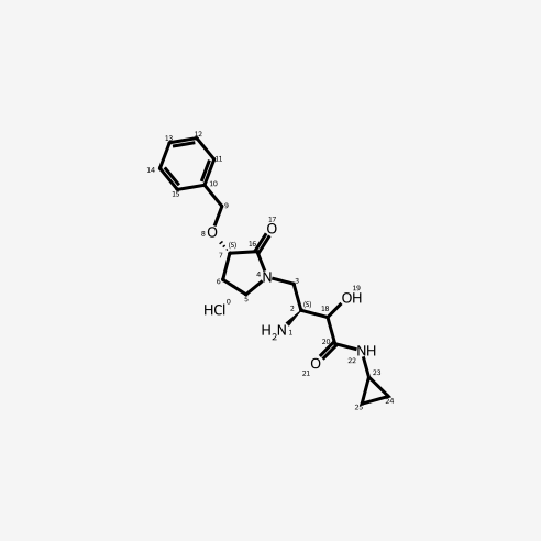 Cl.N[C@@H](CN1CC[C@H](OCc2ccccc2)C1=O)C(O)C(=O)NC1CC1